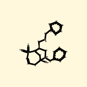 O=S1(=O)C=CC[C@@H]2CN1[C@@H](COCc1ccccc1)CN2Cc1ccccc1